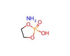 N.O=P1(O)OCCO1